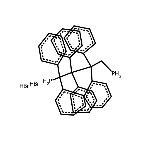 Br.Br.PCC(c1ccccc1)(c1ccccc1)C(c1ccccc1)(c1ccccc1)C(P)(c1ccccc1)c1ccccc1